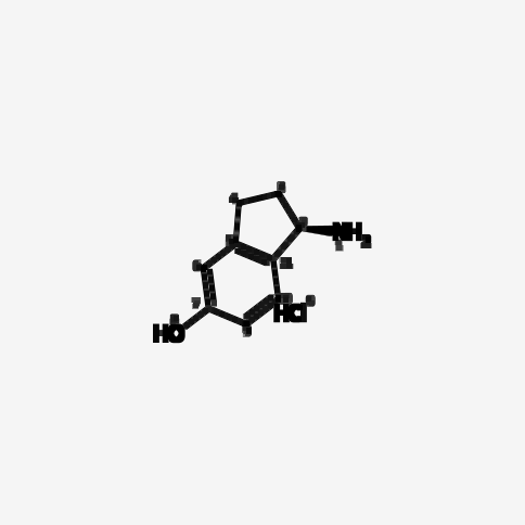 Cl.N[C@@H]1CCc2cc(O)ccc21